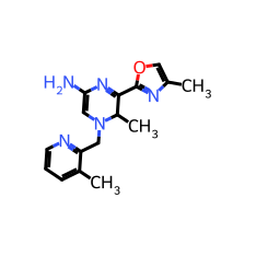 Cc1coc(C2=NC(N)=CN(Cc3ncccc3C)C2C)n1